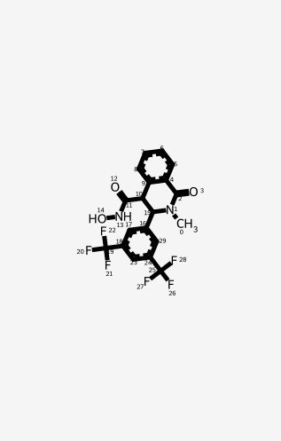 CN1C(=O)c2ccccc2C(C(=O)NO)C1c1cc(C(F)(F)F)cc(C(F)(F)F)c1